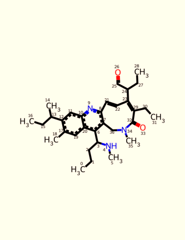 CCCC(NC)c1c2c(nc3cc(C(C)CC)c(C)cc13)/C=C/C(C(C=O)CC)=C(/CC)C(=O)N(C)C2